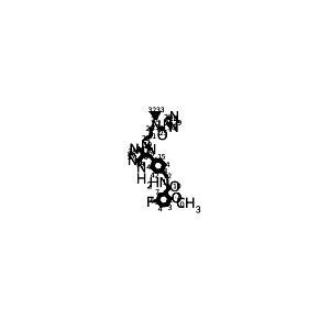 COc1ccc(F)cc1C(=O)NCc1ccc(-c2nn(CCCN(C(=O)n3cncn3)C3CC3)c3ncnc(N)c23)cc1